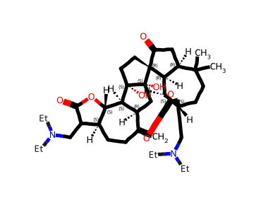 C=C1CC[C@H]2C(CN(CC)CC)C(=O)O[C@@H]2[C@@H]2[C@H]1C[C@@]1(O)[C@]2(O)CC[C@]12C(=O)C[C@@H]1[C@H]2[C@H]2OC(=O)C(CN(CC)CC)[C@@H]2CCC1(C)C